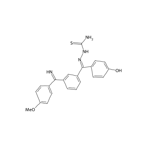 COc1ccc(C(=N)c2cccc(C(=NNC(N)=S)c3ccc(O)cc3)c2)cc1